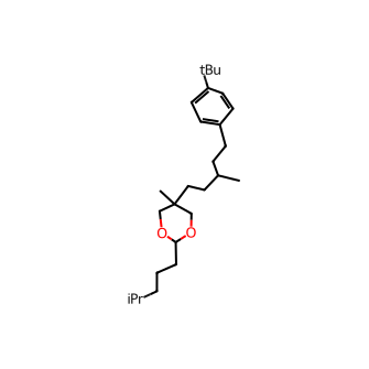 CC(C)CCCC1OCC(C)(CCC(C)CCc2ccc(C(C)(C)C)cc2)CO1